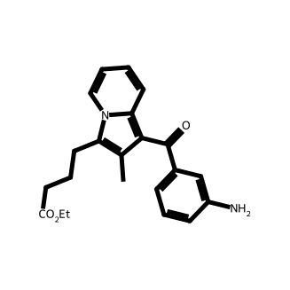 CCOC(=O)CCCc1c(C)c(C(=O)c2cccc(N)c2)c2ccccn12